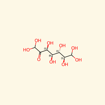 O=C(C(O)O)[C@@H](O)[C@H](O)[C@H](O)[C@H](O)C(O)O